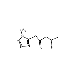 Cn1nnnc1SC(=S)CC(F)F